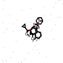 O=C(O)c1ccc2nc(N3C4CC(NCc5c(-c6c(F)cccc6F)noc5C5CC5)CC3C4)sc2c1